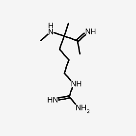 CNC(C)(CCCNC(=N)N)C(C)=N